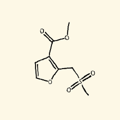 COC(=O)c1ccoc1CS(C)(=O)=O